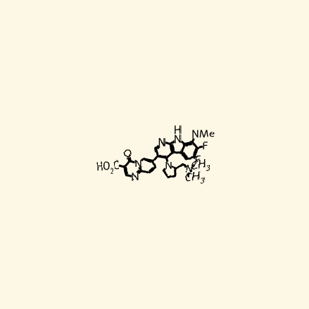 CNc1c(F)c(F)cc2c1[nH]c1ncc(-c3ccc4ncc(C(=O)O)c(=O)n4c3)c(N3CCCC3CN(C)C)c12